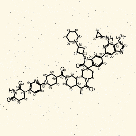 CC(C(=O)N1CCC2(CC1)C(=O)N(C1CC(N3CCCCC3)C1)c1cc(-c3cc4ncn(C(C)C)c4c(NC4CC4)n3)ccc12)C1CCN(C(=O)C2CCN(c3ccc([C@H]4CCC(=O)NC4=O)cn3)CC2)CC1